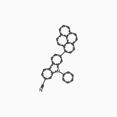 N#Cc1ccc2c3ccc(-c4ccc5ccc6cccc7ccc4c5c67)cc3n(-c3ccccc3)c2c1